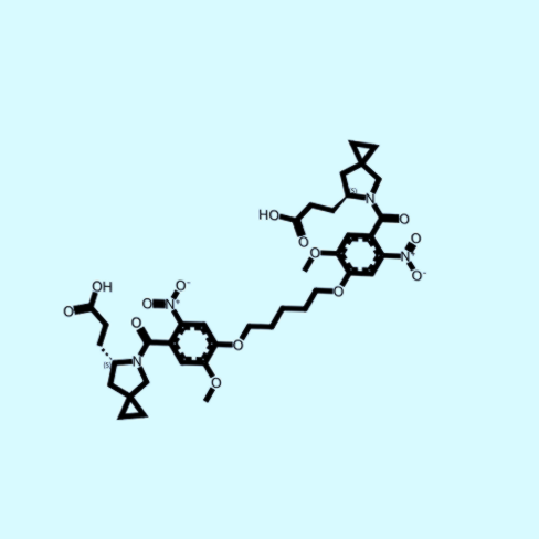 COc1cc(C(=O)N2CC3(CC3)C[C@@H]2CCC(=O)O)c([N+](=O)[O-])cc1OCCCCCOc1cc([N+](=O)[O-])c(C(=O)N2CC3(CC3)C[C@@H]2CCC(=O)O)cc1OC